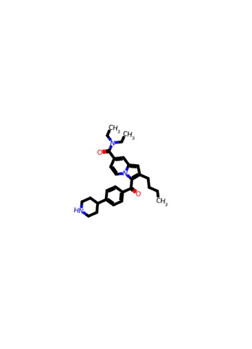 CCCCc1cc2cc(C(=O)N(CC)CC)ccn2c1C(=O)c1ccc(C2CCNCC2)cc1